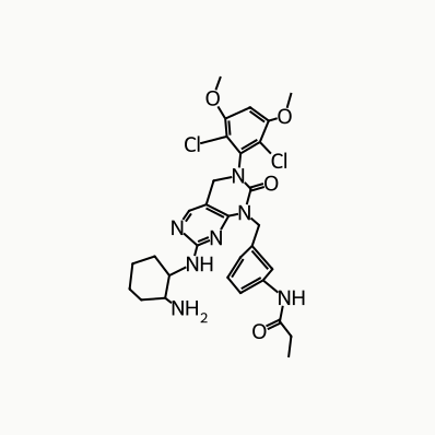 CCC(=O)Nc1cccc(CN2C(=O)N(c3c(Cl)c(OC)cc(OC)c3Cl)Cc3cnc(NC4CCCCC4N)nc32)c1